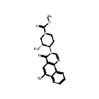 CC(C)(C)OC(=O)N1CC[C@@H](n2cnc3c(cc(Br)c4ccccc43)c2=O)[C@H](O)C1